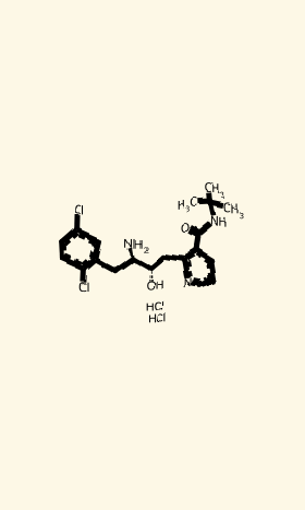 CC(C)(C)NC(=O)c1cccnc1C[C@H](O)[C@H](N)Cc1cc(Cl)ccc1Cl.Cl.Cl